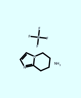 F[B-](F)(F)F.N.c1cn2c(n1)CCCC2